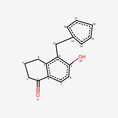 O=C1CCCc2c1ccc(O)c2Cc1ccccc1